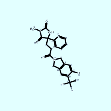 CN1C(=O)NC(CCC(=O)N2Cc3cc(Cl)c(C(F)(F)F)cc3C2)(c2ccccn2)C1=O